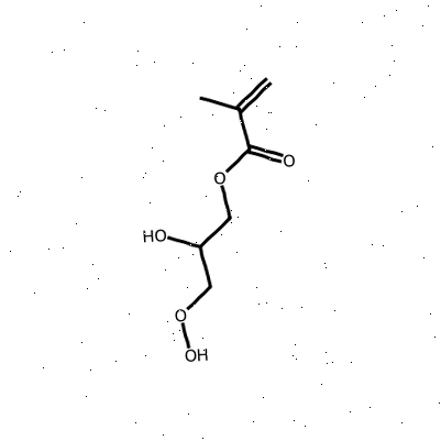 C=C(C)C(=O)OCC(O)COO